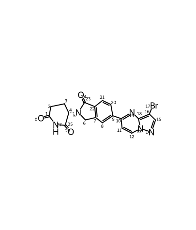 O=C1CC[C@H](N2Cc3cc(-c4ccn5ncc(Br)c5n4)ccc3C2=O)C(=O)N1